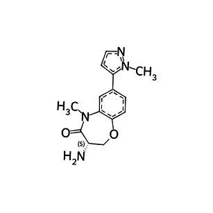 CN1C(=O)[C@@H](N)COc2ccc(-c3ccnn3C)cc21